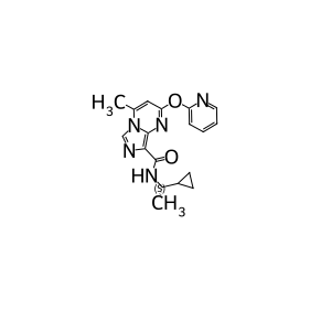 Cc1cc(Oc2ccccn2)nc2c(C(=O)N[C@@H](C)C3CC3)ncn12